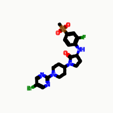 CS(=O)(=O)c1ccc(N[C@H]2CCN(C3CCN(c4ncc(Br)cn4)CC3)C2=O)c(F)c1